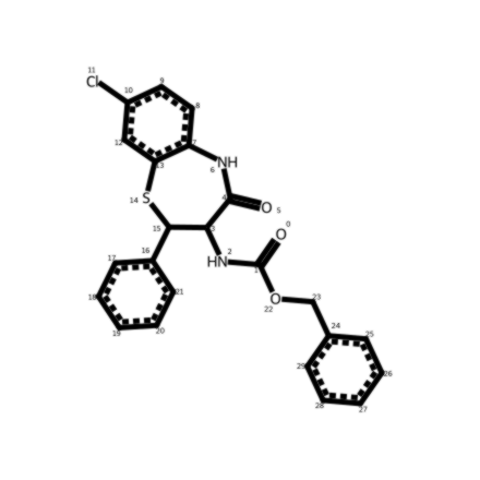 O=C(NC1C(=O)Nc2ccc(Cl)cc2SC1c1ccccc1)OCc1ccccc1